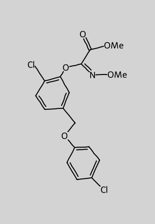 CON=C(Oc1cc(COc2ccc(Cl)cc2)ccc1Cl)C(=O)OC